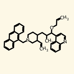 C=CCOC(c1ccnc2ccccc12)C(C)CC1CCN(Cc2c3ccccc3cc3ccccc23)CC1C=C